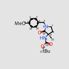 COc1ccc(CN2CC[C@](C)(NC(=O)OC(C)(C)C)C2=O)cc1